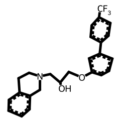 OC(COc1cccc(-c2ccc(C(F)(F)F)cc2)c1)CN1CCc2ccccc2C1